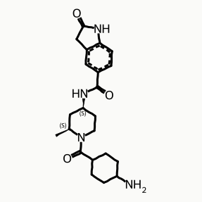 C[C@H]1C[C@@H](NC(=O)c2ccc3c(c2)CC(=O)N3)CCN1C(=O)C1CCC(N)CC1